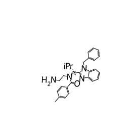 Cc1ccc(C(=O)N(CCN)[C@@H](c2nc3ccccc3n2Cc2ccccc2)C(C)C)cc1